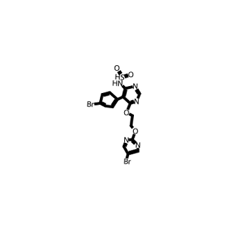 O=[SH](=O)Nc1ncnc(OCCOc2ncc(Br)cn2)c1-c1ccc(Br)cc1